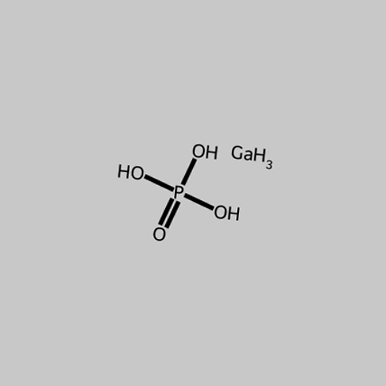 O=P(O)(O)O.[GaH3]